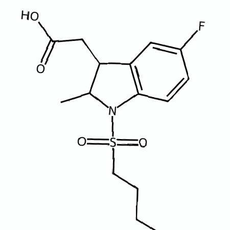 CCCCS(=O)(=O)N1c2ccc(F)cc2C(CC(=O)O)C1C